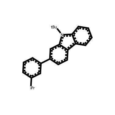 CC(C)c1cccc(-c2ccc3c4ccccc4n(C(C)(C)C)c3c2)c1